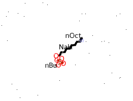 CCCCCCCC/C=C\CCCCCCCC(=O)OS(=O)(=O)OCCCC.[NaH]